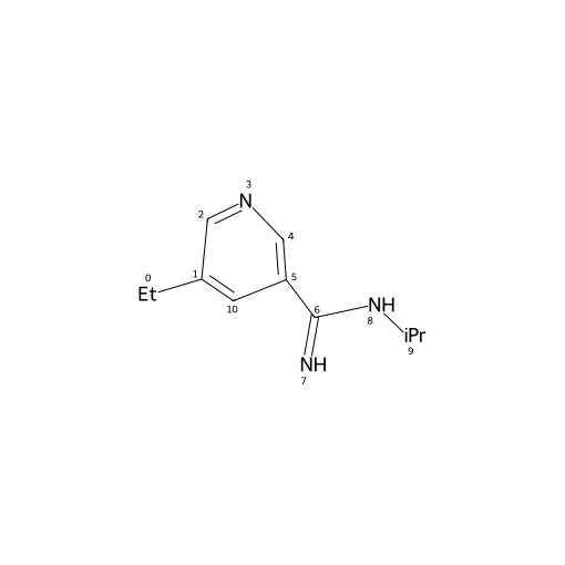 CCc1cncc(C(=N)NC(C)C)c1